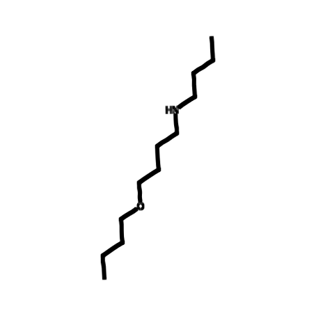 CCCCNCCCCOCCCC